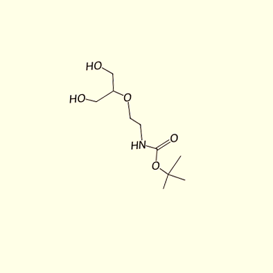 CC(C)(C)OC(=O)NCCOC(CO)CO